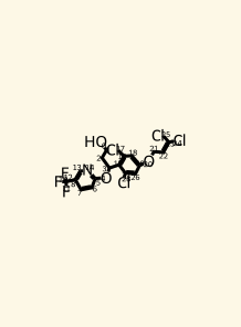 OCCC(Oc1ccc(C(F)(F)F)cn1)c1c(Cl)cc(OCC=C(Cl)Cl)cc1Cl